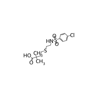 CC(C)(CCSCCNS(=O)(=O)c1ccc(Cl)cc1)C(=O)O